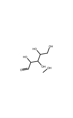 CO.O=CC(O)C(O)C(O)CO